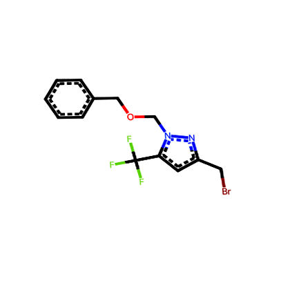 FC(F)(F)c1cc(CBr)nn1COCc1ccccc1